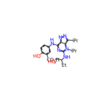 CCC(CO)Nc1nc(Nc2ccc(O)c(C(=O)O)c2)c2nnc(C(C)C)c-2n1C(C)C